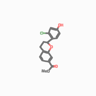 COC(=O)c1ccc2c(c1)OC(c1ccc(O)cc1Cl)CC2